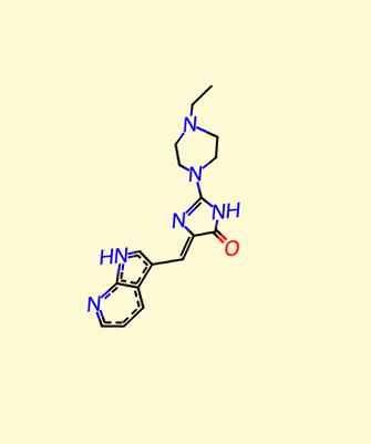 CCN1CCN(C2=N/C(=C\c3c[nH]c4ncccc34)C(=O)N2)CC1